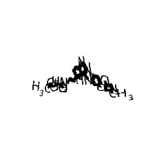 Cc1ccc(Oc2ccc(Nc3ncnc4ccc(C=CCNC(=O)COC(C)C)cc34)cc2C)cn1